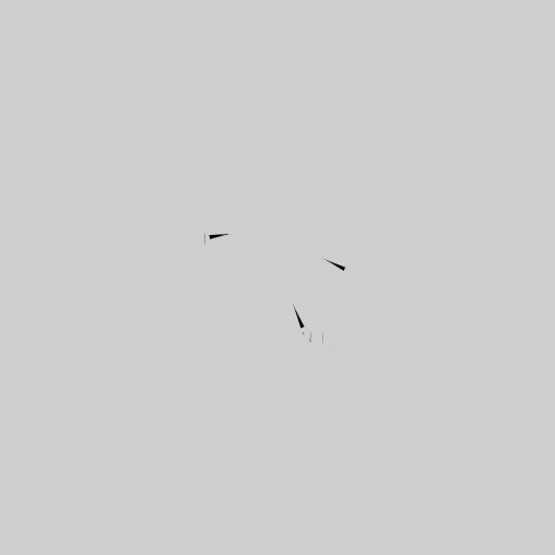 N[C@H]1C[C@@H]2C=C[C@H]1C2